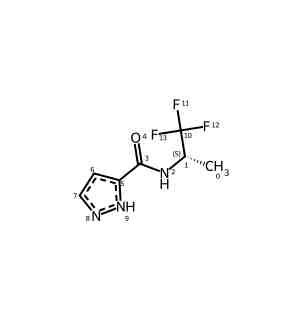 C[C@H](NC(=O)c1ccn[nH]1)C(F)(F)F